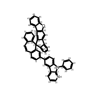 C1=Cc2ccc(-c3ccc4c(c3)c3cccnc3n4-c3ccccc3)cc2C2(c3ccccc31)c1ccccc1-c1cc3oc4ccccc4c3cc12